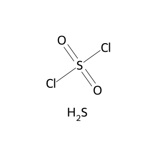 O=S(=O)(Cl)Cl.S